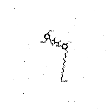 COCCOCCOCCOCCOc1cc(NC(=O)c2nnn(-c3cc(OC)ccc3OC)c2C)cc(C(C)(C)C)c1